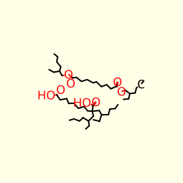 CCCCC(CC)CC(CCCCCCCC(=O)O)(CC(CC)CCCC)C(=O)O.CCCCC(CC)COC(=O)CCCCCCCCC(=O)OCC(CC)CCCC